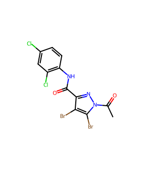 CC(=O)n1nc(C(=O)Nc2ccc(Cl)cc2Cl)c(Br)c1Br